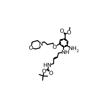 COC(=O)c1cc(N)c(NC/C=C/CNC(=O)OC(C)(C)C)c(OCCCN2CCOCC2)c1